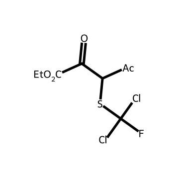 CCOC(=O)C(=O)C(SC(F)(Cl)Cl)C(C)=O